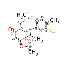 C=CC[C@H]1C[C@]2([C@H](C)Cc3cc(F)c(C)cc3F)O[C@H](C)OC2=CC1=O